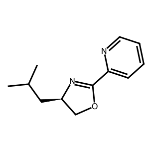 CC(C)C[C@@H]1COC(c2ccccn2)=N1